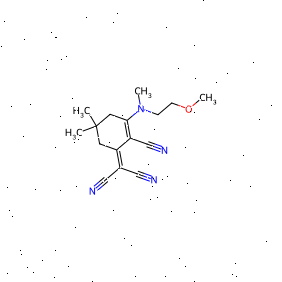 COCCN(C)C1=C(C#N)C(=C(C#N)C#N)CC(C)(C)C1